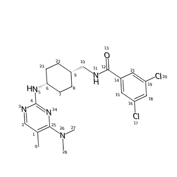 Cc1cnc(N[C@H]2CC[C@@H](CNC(=O)c3cc(Cl)cc(Cl)c3)CC2)nc1N(C)C